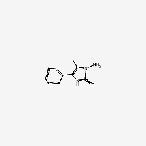 Cc1c(-c2ccccc2)[nH]c(=O)n1N